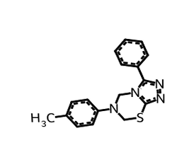 Cc1ccc(N2CSc3nnc(-c4ccccc4)n3C2)cc1